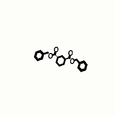 O=C(OCc1ccccc1)[C@H]1CCC[C@H](C(=O)OCc2ccccc2)C1